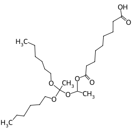 CCCCCCOC(C)(OCCCCCC)OC(C)OC(=O)CCCCCCCC(=O)O